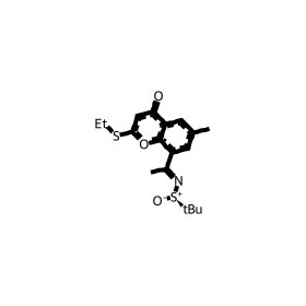 CCSc1cc(=O)c2cc(C)cc(/C(C)=N/[S@+]([O-])C(C)(C)C)c2o1